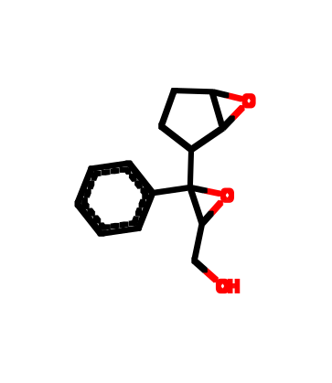 OCC1OC1(c1ccccc1)C1CCC2OC21